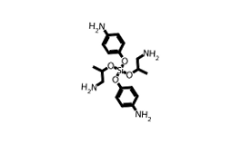 CC(CN)O[Si](Oc1ccc(N)cc1)(Oc1ccc(N)cc1)OC(C)CN